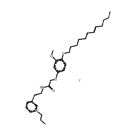 CCCCCCCCCCCCOc1ccc(OCC(=O)NCCc2ccc[n+](CCC)c2)cc1OC.[I-]